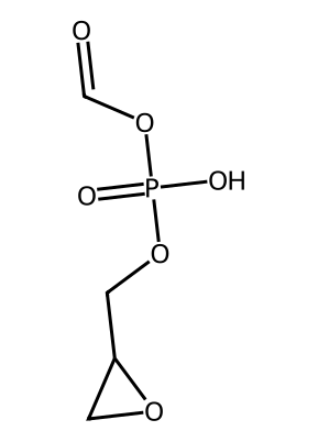 O=COP(=O)(O)OCC1CO1